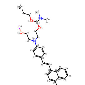 CC(C)N(B(OCCC#N)OCCN(CCOI)c1ccc(/C=C/c2ccc(N=O)c3ccccc23)cc1)C(C)C